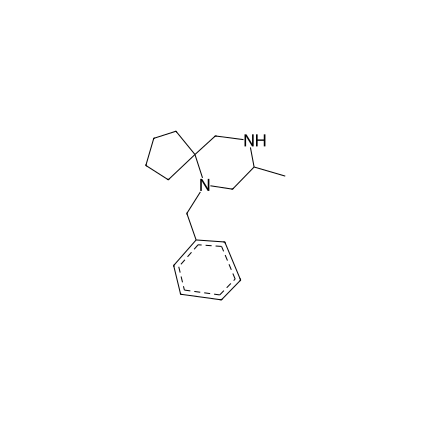 CC1CN(Cc2ccccc2)C2(CCCC2)CN1